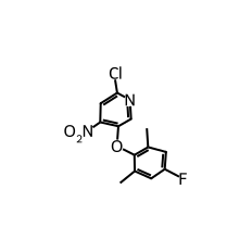 Cc1cc(F)cc(C)c1Oc1cnc(Cl)cc1[N+](=O)[O-]